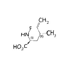 C=C[C@H](C)C[C@H](NF)C(=O)O